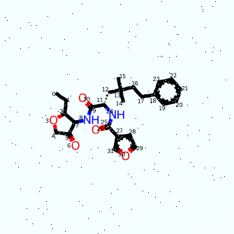 CCC1OCC(=O)C1NC(=O)[C@H](CC(C)(C)CCc1ccccc1)NC(=O)c1ccoc1